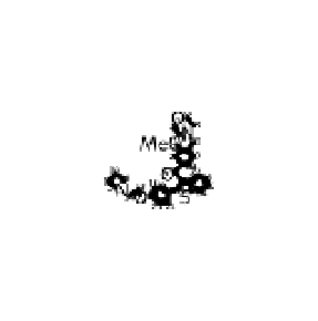 COc1cc(C(=O)c2c(-c3ccc(OCCN4CCCC4)cc3)sc3ccccc23)ccc1CN1CCOCC1